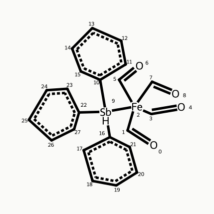 O=[CH][Fe]([CH]=O)([CH]=O)([CH]=O)[SbH]([c]1ccccc1)([c]1ccccc1)[c]1ccccc1